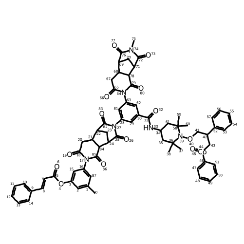 Cc1cc(OC(=O)/C=C/c2ccccc2)cc(N2C(=O)CC3C4CC(C(=O)N(c5cc(C(=O)NC6CC(C)(C)N(OCC([CH2][Co](=[O])[c]7ccccc7)c7ccccc7)C(C)(C)C6)cc(N6C(=O)CC7C8CC(C(=O)N(C)C8=O)C7C6=O)c5)C4=O)C3C2=O)c1